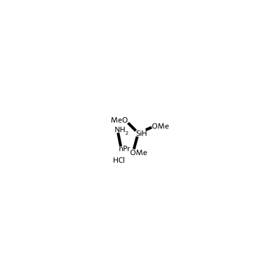 CCCN.CO[SiH](OC)OC.Cl